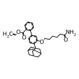 C=COC(=O)c1ccccc1-c1ccc(C23CC4CC(CC(C4)C2)C3)c(OCCCCCC(N)=O)c1